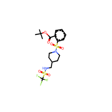 CC(C)(C)OC(=O)c1ccccc1S(=O)(=O)N1CCC(CNS(=O)(=O)C(F)(F)F)CC1